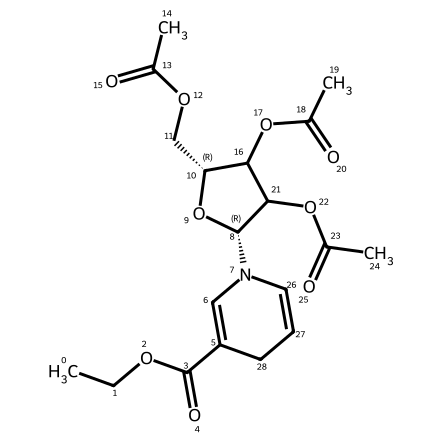 CCOC(=O)C1=CN([C@@H]2O[C@H](COC(C)=O)C(OC(C)=O)C2OC(C)=O)C=CC1